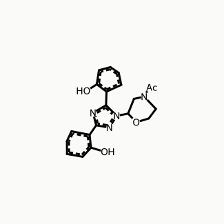 CC(=O)N1CCOC(n2nc(-c3ccccc3O)nc2-c2ccccc2O)C1